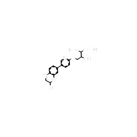 CCC1CNc2ccc(-c3ccc(OCC(C)C(C)C(=O)O)nc3)cc2O1